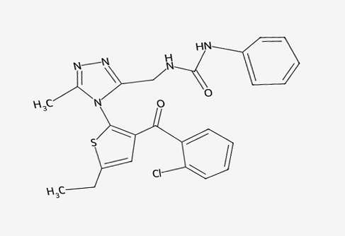 CCc1cc(C(=O)c2ccccc2Cl)c(-n2c(C)nnc2CNC(=O)Nc2ccccc2)s1